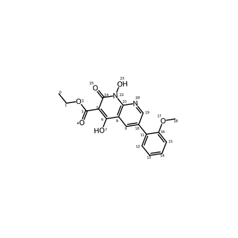 CCOC(=O)c1c(O)c2cc(-c3ccccc3OC)cnc2n(O)c1=O